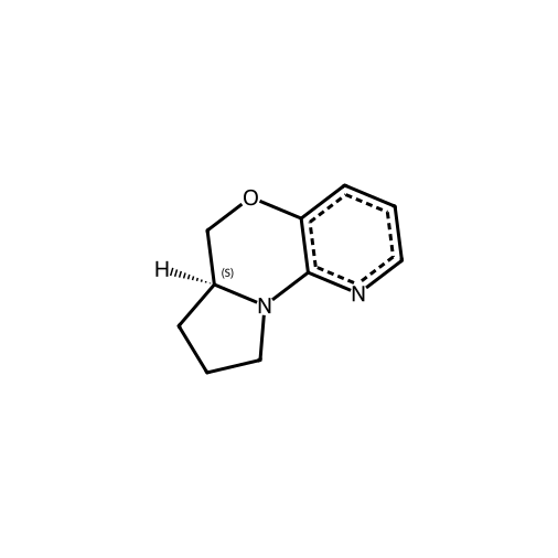 c1cnc2c(c1)OC[C@@H]1CCCN21